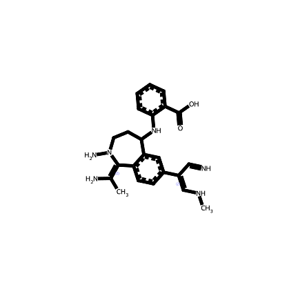 CN/C=C(\C=N)c1ccc2c(c1)C(Nc1ccccc1C(=O)O)CCN(N)/C2=C(/C)N